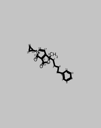 CC1(CCCCc2ccccc2)OC(=O)c2c1ccn(C1CC1)c2=O